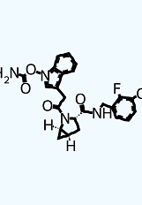 NC(=O)On1cc(CC(=O)N2[C@@H]3C[C@@H]3C[C@H]2C(=O)NCc2cccc(Cl)c2F)c2ccccc21